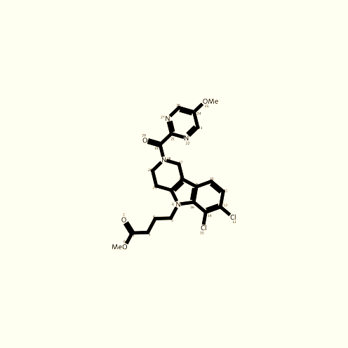 COC(=O)CCCn1c2c(c3ccc(Cl)c(Cl)c31)CN(C(=O)c1ncc(OC)cn1)CC2